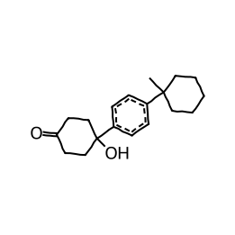 CC1(c2ccc(C3(O)CCC(=O)CC3)cc2)CCCCC1